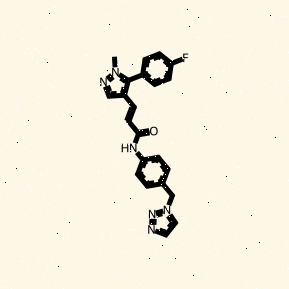 Cn1ncc(C=CC(=O)Nc2ccc(Cn3ccnn3)cc2)c1-c1ccc(F)cc1